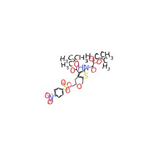 CC(C)(C)OC(=O)C(=O)Nc1sc2c(c1C(=O)OC(C)(C)C)CC(COS(=O)(=O)c1ccc([N+](=O)[O-])cc1)OC2